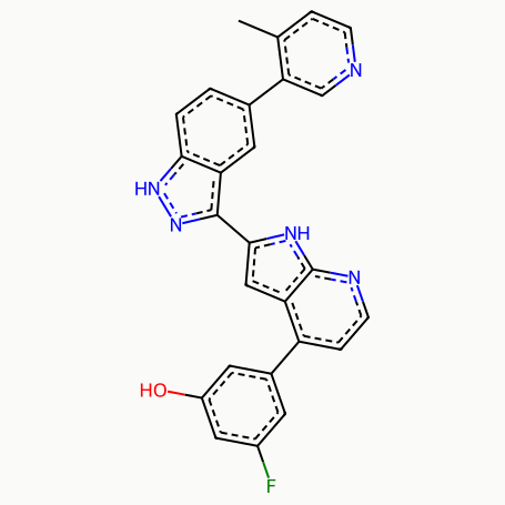 Cc1ccncc1-c1ccc2[nH]nc(-c3cc4c(-c5cc(O)cc(F)c5)ccnc4[nH]3)c2c1